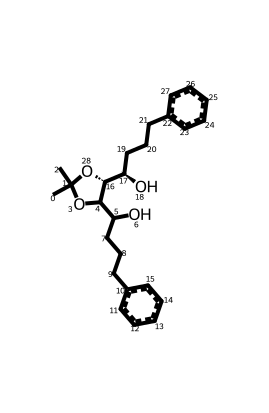 CC1(C)OC(C(O)CCCc2ccccc2)[C@@H]([C@H](O)CCCc2ccccc2)O1